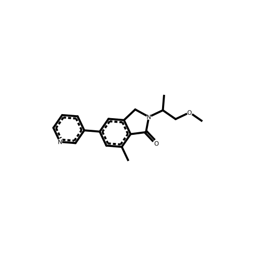 COCC(C)N1Cc2cc(-c3cccnc3)cc(C)c2C1=O